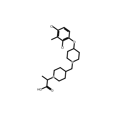 Cc1c(Cl)ccc(OC2CCN(CC3CCN(C(C)C(=O)O)CC3)CC2)c1Cl